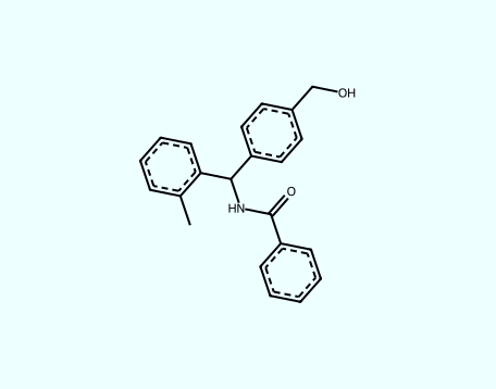 Cc1ccccc1C(NC(=O)c1ccccc1)c1ccc(CO)cc1